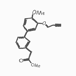 C#CCOc1cc(-c2cccc(CC(=O)OC)c2)ccc1OC